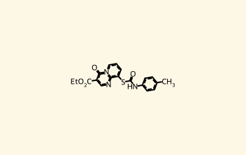 CCOC(=O)c1cnc2c(SC(=O)Nc3ccc(C)cc3)cccn2c1=O